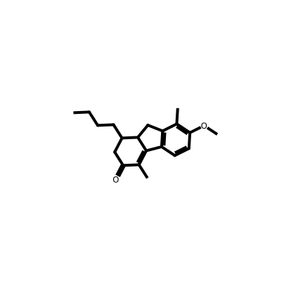 CCCCC1CC(=O)C(C)=C2c3ccc(OC)c(C)c3CC21